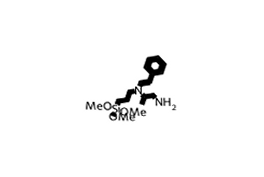 CO[Si](CCCN(C=Cc1ccccc1)C(C)CN)(OC)OC